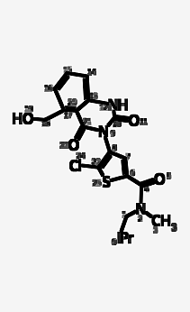 CC(C)CN(C)C(=O)c1cc(-n2c(=O)[nH]c3cccc(CO)c3c2=O)c(Cl)s1